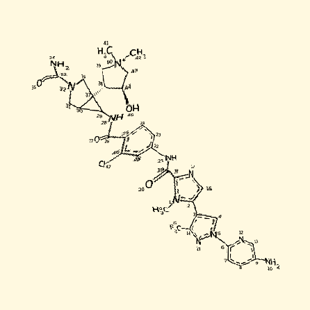 Cn1c(-c2cn(-c3ccc(N)cn3)nc2C(F)(F)F)cnc1C(=O)Nc1ccc(C(=O)NC2C3CN(C(N)=O)CC32[C@@H]2C[N+](C)(C)C[C@H]2O)c(Cl)c1